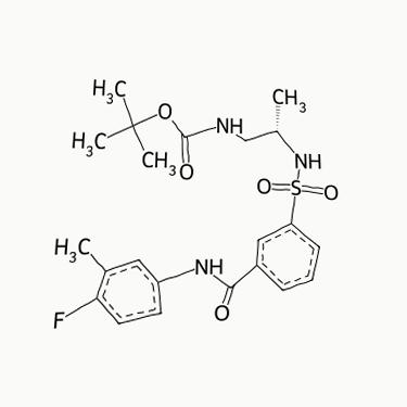 Cc1cc(NC(=O)c2cccc(S(=O)(=O)N[C@@H](C)CNC(=O)OC(C)(C)C)c2)ccc1F